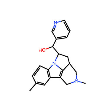 Cc1ccc2c(c1)c1c3n2C(C(O)c2cccnc2)CC3CN(C)C1